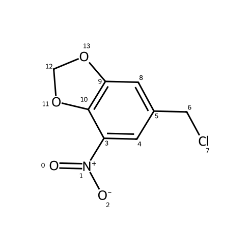 O=[N+]([O-])c1cc(CCl)cc2c1OCO2